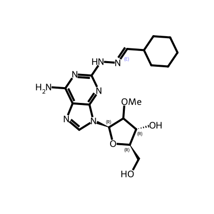 COC1[C@H](n2cnc3c(N)nc(N/N=C/C4CCCCC4)nc32)O[C@H](CO)[C@H]1O